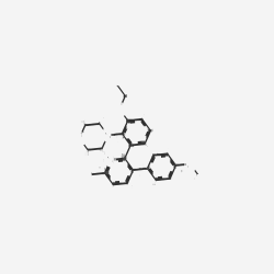 CCOc1cccc(-c2nc(C)ccc2-c2ccc(OC)cc2)c1N1CCOCC1